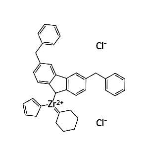 C1=CC[C]([Zr+2](=[C]2CCCCC2)[CH]2c3ccc(Cc4ccccc4)cc3-c3cc(Cc4ccccc4)ccc32)=C1.[Cl-].[Cl-]